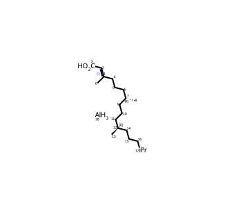 C/C(=C\C(=O)O)CCC[C@H](C)CCC[C@H](C)CCCC(C)C.[AlH3]